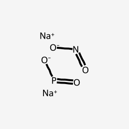 O=N[O-].O=P[O-].[Na+].[Na+]